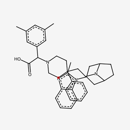 Cc1cc(C)cc(C(C(=O)O)N2CCC(CCN3C4CCC3CC(n3c(C)nc5ccccc53)C4)(c3ccccc3)CC2)c1